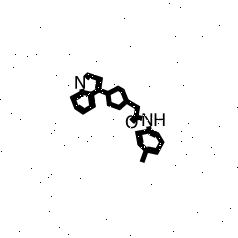 CC1=CCC=C(NC(=O)CC2CCC(c3ccnc4ccccc34)CC2)C=C1